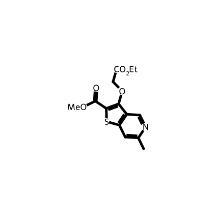 CCOC(=O)COc1c(C(=O)OC)sc2cc(C)ncc12